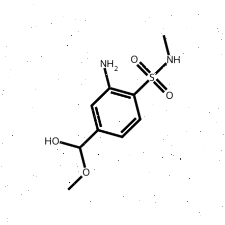 CNS(=O)(=O)c1ccc(C(O)OC)cc1N